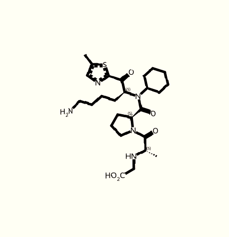 Cc1cnc(C(=O)[C@H](CCCCN)N(C(=O)[C@@H]2CCCN2C(=O)[C@H](C)NCC(=O)O)C2CCCCC2)s1